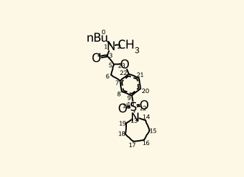 CCCCN(C)C(=O)C1Cc2cc(S(=O)(=O)N3CCCCCC3)ccc2O1